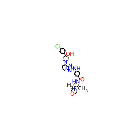 CC(C)(CNC(=O)c1ccc(Nc2nc3c(N4CCC(O)(c5ccc(Cl)cc5)CC4)cccn3n2)cc1)N1CCOCC1